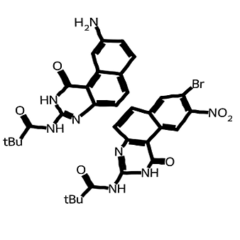 CC(C)(C)C(=O)Nc1nc2ccc3cc(Br)c([N+](=O)[O-])cc3c2c(=O)[nH]1.CC(C)(C)C(=O)Nc1nc2ccc3ccc(N)cc3c2c(=O)[nH]1